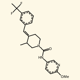 COc1ccc(NC(=O)N2CCC(=Cc3cccc(C(C)(F)F)c3)C(C)C2)cn1